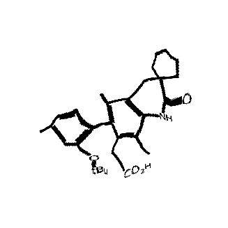 Cc1ccc(-c2c(C)c3c(c(C)c2CC(=O)O)NC(=O)C2(CCCCC2)C3)c(OC(C)(C)C)c1